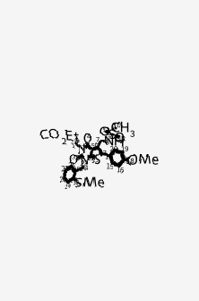 CCOC(=O)Cn1c(=O)c2c(CNS(C)(=O)=O)c(-c3ccc(OC)cc3)sc2n(Cc2ccccc2SC)c1=O